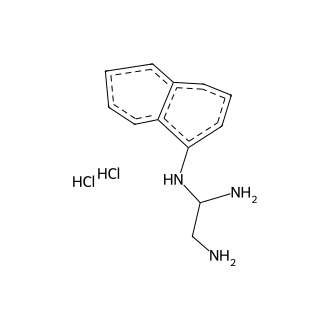 Cl.Cl.NCC(N)Nc1cccc2ccccc12